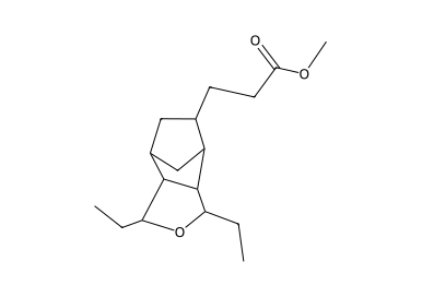 CCC1OC(CC)C2C3CC(CC3CCC(=O)OC)C12